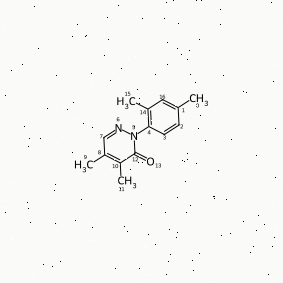 Cc1ccc(-n2ncc(C)c(C)c2=O)c(C)c1